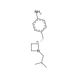 C[C](C)CN1CC[C@@H]1Cc1ccc(N)cc1